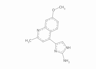 COc1ccc2c(-c3c[nH]c(N)n3)cc(C)nc2c1